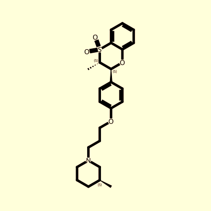 C[C@H]1CCCN(CCCOc2ccc([C@@H]3Oc4ccccc4S(=O)(=O)[C@H]3C)cc2)C1